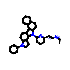 C/C=N\C=C\c1cccc(-n2c3ccc4ccccc4c3c3ccc4c(ccn4-c4ccccc4)c32)n1